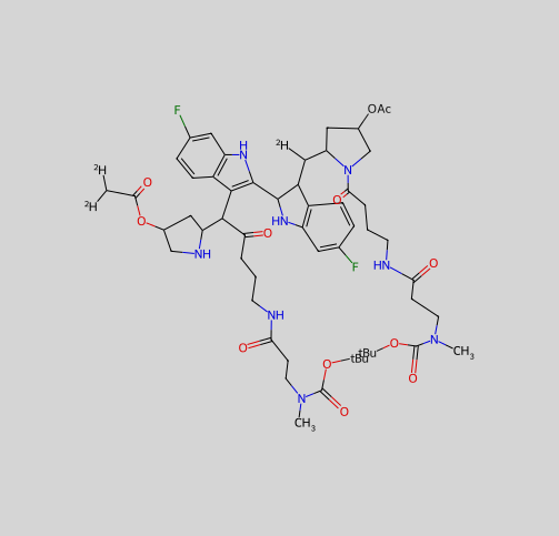 [2H]C([2H])C(=O)OC1CNC(C(C(=O)CCCNC(=O)CCN(C)C(=O)OC(C)(C)C)c2c(C3Nc4cc(F)ccc4C3C([2H])C3CC(OC(C)=O)CN3C(=O)CCCNC(=O)CCN(C)C(=O)OC(C)(C)C)[nH]c3cc(F)ccc23)C1